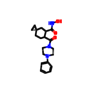 O=C(NO)C1CC2(CCC1C(=O)N1CCN(c3ccccc3)CC1)CC2